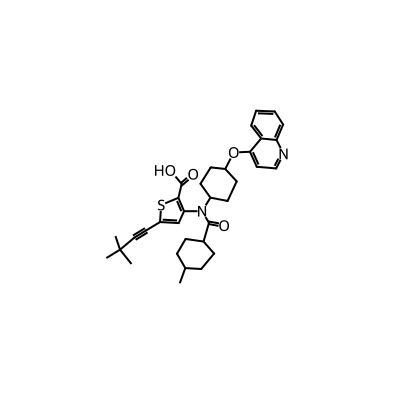 CC1CCC(C(=O)N(c2cc(C#CC(C)(C)C)sc2C(=O)O)C2CCC(Oc3ccnc4ccccc34)CC2)CC1